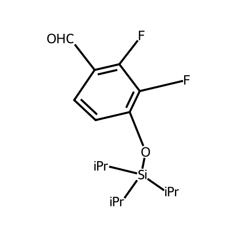 CC(C)[Si](Oc1ccc(C=O)c(F)c1F)(C(C)C)C(C)C